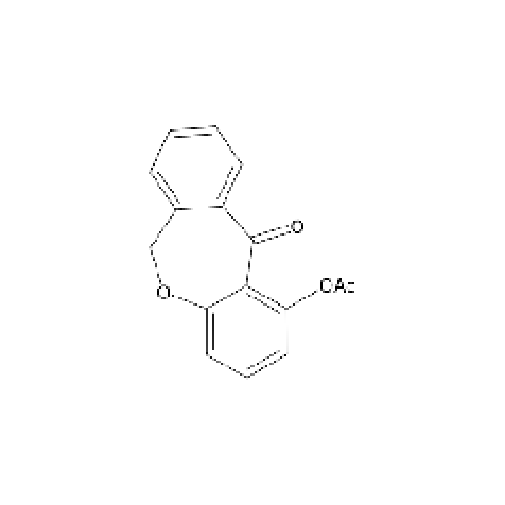 CC(=O)Oc1cccc2c1C(=O)c1ccccc1CO2